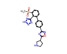 CS(=O)(=O)c1cccc(-c2ccc(-c3noc(C4CCNC4)n3)cc2)c1-c1nn[nH]n1